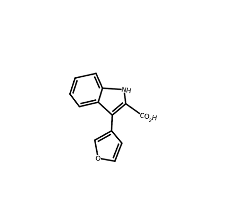 O=C(O)c1[nH]c2ccccc2c1-c1ccoc1